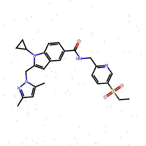 CCS(=O)(=O)c1ccc(CNC(=O)c2ccc3c(c2)cc(Cn2nc(C)cc2C)n3C2CC2)nc1